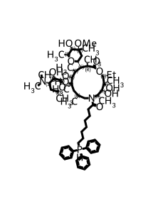 CC[C@H]1OC(=O)[C@H](C)[C@@H](C2C[C@@](C)(OC)[C@@H](O)[C@H](C)O2)[C@H](C)[C@@H](O[C@@H]2O[C@H](C)C[C@H](N(C)C)[C@H]2O)[C@](C)(O)C[C@@H](C)CN(C(=O)CCCCCCC[PH](c2ccccc2)(c2ccccc2)c2ccccc2)[C@H](C)[C@@H](O)[C@]1(C)O